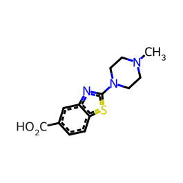 CN1CCN(c2nc3cc(C(=O)O)ccc3s2)CC1